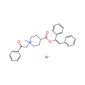 C[N+]1(CC(=O)c2ccccc2)CCC(C(=O)OC(=Cc2ccccc2)c2ccccc2)CC1.[Br-]